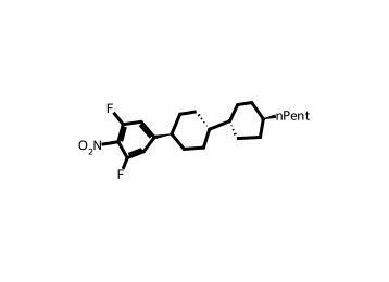 CCCCC[C@H]1CC[C@H]([C@H]2CC[C@H](c3cc(F)c([N+](=O)[O-])c(F)c3)CC2)CC1